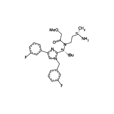 COCC(=O)N(CC[C@H](C)N)[C@@H](c1nc(-c2cccc(F)c2)cn1Cc1cccc(F)c1)C(C)(C)C